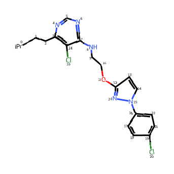 CC(C)CCc1ncnc(NCCOc2ccn(-c3ccc(Cl)cc3)n2)c1Cl